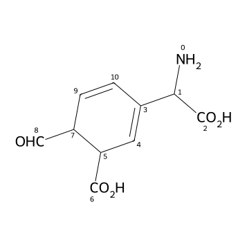 NC(C(=O)O)C1=CC(C(=O)O)C(C=O)C=C1